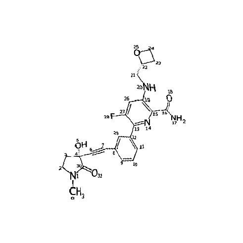 CN1CC[C@@](O)(C#Cc2cccc(-c3nc(C(N)=O)c(NC[C@H]4CCO4)cc3F)c2)C1=O